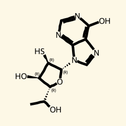 CC(O)[C@H]1O[C@@H](n2cnc3c(O)ncnc32)[C@H](S)[C@@H]1O